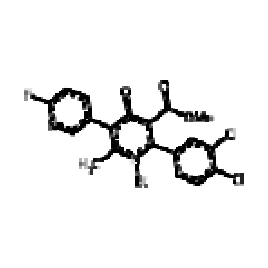 CCn1c(C)c(-c2ccc(F)nc2)c(=O)c(C(=O)OC)c1-c1ccc(Cl)c(Cl)c1